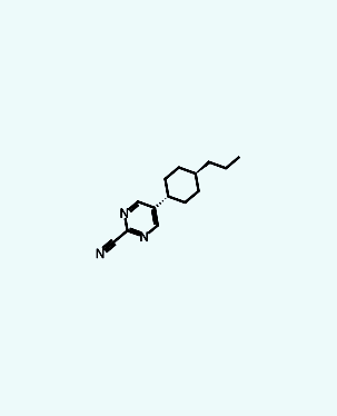 CCC[C@H]1CC[C@H](c2cnc(C#N)nc2)CC1